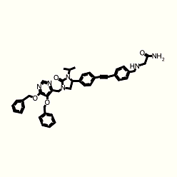 CC(C)N1C(=O)N(Cc2ncnc(OCc3ccccc3)c2OCc2ccccc2)CC1c1ccc(C#Cc2ccc(CNCC(N)=O)cc2)cc1